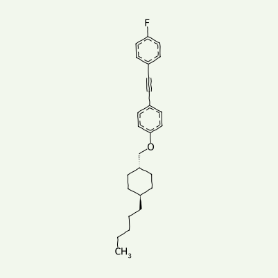 CCCCC[C@H]1CC[C@H](COc2ccc(C#Cc3ccc(F)cc3)cc2)CC1